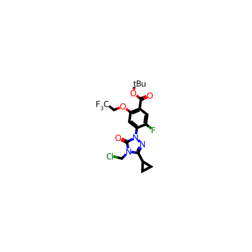 CC(C)(C)OC(=O)c1cc(F)c(-n2nc(C3CC3)n(CCl)c2=O)cc1OCC(F)(F)F